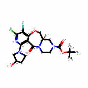 CC(C)(C)OC(=O)N1CCN2C(=O)c3c(N4CCC(O)C4)nc(Cl)c(F)c3OC[C@H]2C1